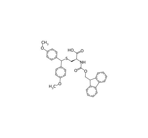 COc1ccc(C(SC[C@H](NC(=O)OCC2c3ccccc3-c3ccccc32)C(=O)O)c2ccc(OC)cc2)cc1